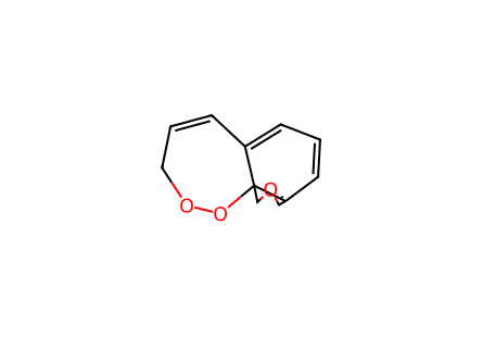 C1=CC2=COCC23OOCC=CC3=C1